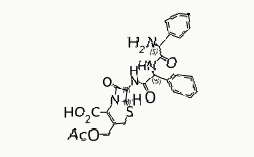 CC(=O)OCC1=C(C(=O)O)N2C(=O)[C@@H](NC(=O)[C@@H](NC(=O)[C@@H](N)c3ccccc3)c3ccccc3)[C@H]2SC1